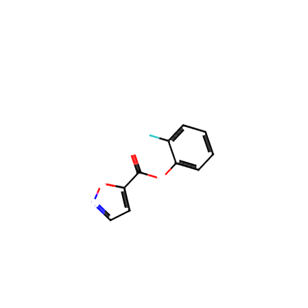 O=C(Oc1ccccc1F)c1ccno1